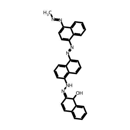 C/N=N/c1ccc(/N=N/c2cccc3c(N/N=C4/C=Cc5ccccc5C4O)cccc23)c2ccccc12